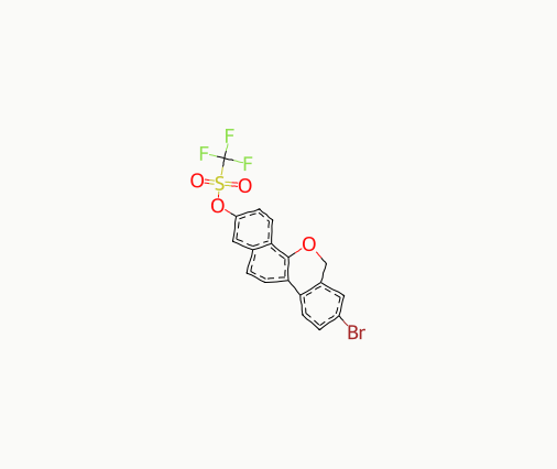 O=S(=O)(Oc1ccc2c3c(ccc2c1)-c1ccc(Br)cc1CO3)C(F)(F)F